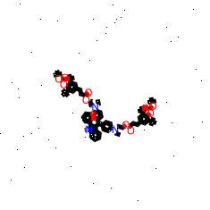 CCN(CCOC(=O)CCc1cc(C(C)(C)C)c(OC(=O)OC(C)(C)C)c(C(C)(C)C)c1)c1ccc(C(=C2C=CC(=[N+](CC)CCOC(=O)CCc3cc(C(C)(C)C)c(OC(=O)OC(C)(C)C)c(C(C)(C)C)c3)C=C2)c2c(-c3ccccc3)n(C)c3ccccc23)cc1